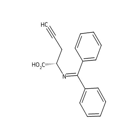 C#CC[C@H](N=C(c1ccccc1)c1ccccc1)C(=O)O